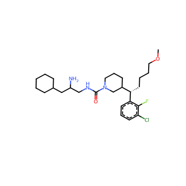 COCCCC[C@H](c1cccc(Cl)c1F)C1CCCN(C(=O)NCC(N)CC2CCCCC2)C1